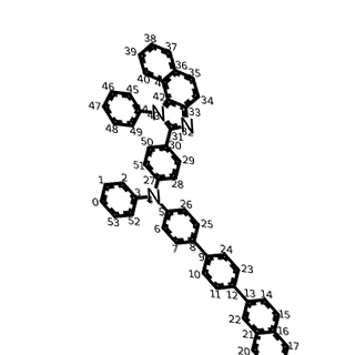 c1ccc(N(c2ccc(-c3ccc(-c4ccc5ccccc5c4)cc3)cc2)c2ccc(-c3nc4ccc5ccccc5c4n3-c3ccccc3)cc2)cc1